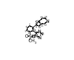 CS(=O)(=O)c1cccc(-c2cc3cnccc3s2)c1-c1nnn[nH]1